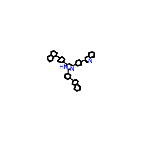 C1=C(c2ccc(-c3cnc4ccccc4c3)cc2)N=C(c2cccc(-c3ccc4ccccc4c3)c2)NC1c1ccc(-c2cccc3ccccc23)cc1